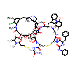 COc1cc2cc(c1Cl)N(C)C(=O)C[C@H](OC(=O)[C@H](C)N(C)C(=O)CCSSC[C@H](NC(=O)[C@@H]1CSSC[C@H](NC(=O)[C@@H](Cc3ccccc3)NC(=O)Nc3ccccc3)C(=O)N[C@@H](Cc3ccc(O)cc3)C(=O)N[C@H](Cc3c[nH]c4ccccc34)C(=O)N[C@@H](CCCCN)C(=O)N[C@@H]([C@@H](C)O)C(=O)N1)C(N)=O)[C@]1(C)O[C@H]1[C@H](C)[C@@H]1C[C@@](O)(NC(=O)O1)[C@H](OC)/C=C/C=C(\C)C2